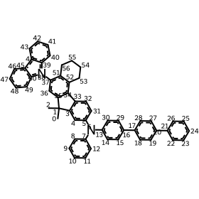 CC1(C)c2cc(N(c3ccccc3)c3ccc(-c4ccc(-c5ccccc5)cc4)cc3)ccc2-c2c1cc(-n1c3ccccc3c3ccccc31)c1c2CCCC1